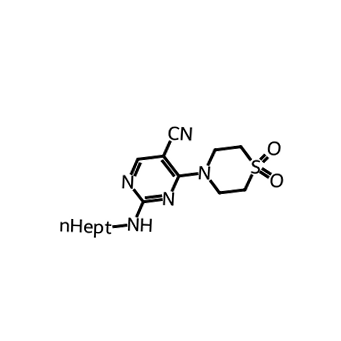 CCCCCCCNc1ncc(C#N)c(N2CCS(=O)(=O)CC2)n1